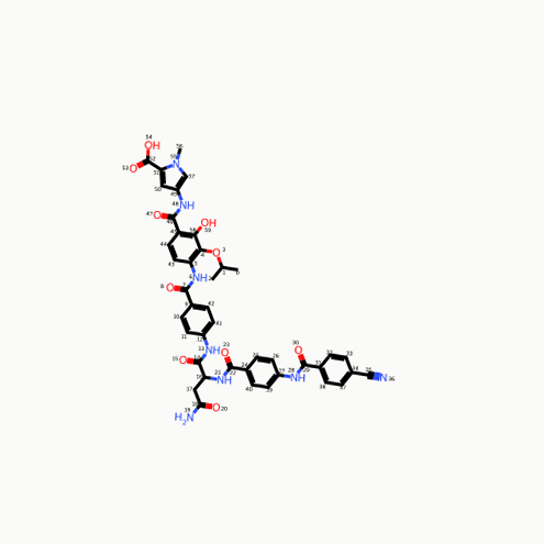 CC(C)Oc1c(NC(=O)c2ccc(NC(=O)C(CC(N)=O)NC(=O)c3ccc(NC(=O)c4ccc(C#N)cc4)cc3)cc2)ccc(C(=O)Nc2cc(C(=O)O)n(C)c2)c1O